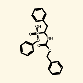 O=C(NC(Cc1ccccc1)P(=O)(O)Oc1ccccc1)OCc1ccccc1